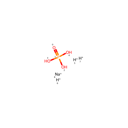 O=P(O)(O)O.[H+].[H+].[H+].[Na+]